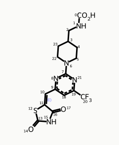 O=C(O)NCC1CCN(c2nc(/C=C3/SC(=O)NC3=O)cc(C(F)(F)F)n2)CC1